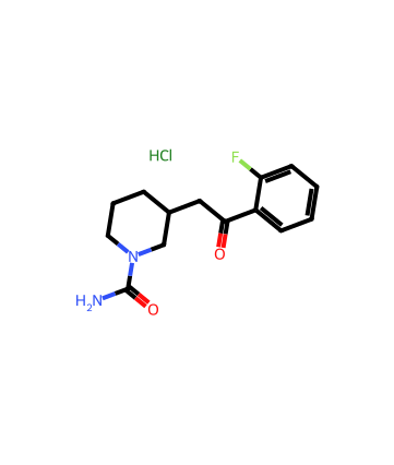 Cl.NC(=O)N1CCCC(CC(=O)c2ccccc2F)C1